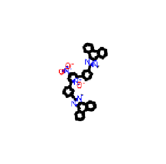 Cn1c(-c2cccc(-c3cc([N+](=O)[O-])cc(-c4cccc(-c5nc6c7ccccc7c7ccccc7c6n5C)c4)[n+]3[O-])c2)nc2c3ccccc3c3ccccc3c21